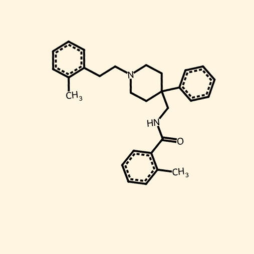 Cc1ccccc1CCN1CCC(CNC(=O)c2ccccc2C)(c2ccccc2)CC1